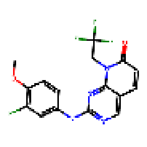 COc1ccc(Nc2ncc3ccc(=O)n(CC(F)(F)F)c3n2)cc1F